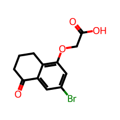 O=C(O)COc1cc(Br)cc2c1CCCC2=O